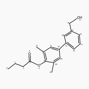 CCCC(=O)Oc1c(C)cc(-c2cccc(CO)c2)cc1C